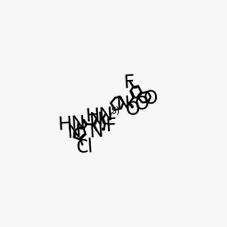 O=C(c1cc(F)cc2c1OCOC2)N1CCC[C@@H](CNc2nc(-c3c[nH]c4ncc(Cl)cc34)ncc2F)C1